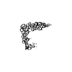 [Ba+2].[Ca+2].[O]=[Cr](=[O])([O-])[O-].[O]=[Cr](=[O])([O-])[O-].[O]=[Cr](=[O])([O-])[O-].[O]=[Cr](=[O])([O-])[O-].[O]=[Cr](=[O])([O-])[O-].[Pb+2].[Sr+2].[Zn+2]